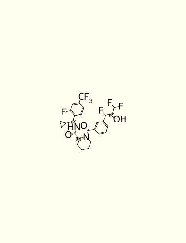 O=C(N[C@@H](c1ccc(C(F)(F)F)cc1F)C1CC1)[C@H]1CCCCN1C(=O)c1cccc(C(F)[C@@H](O)C(F)F)c1